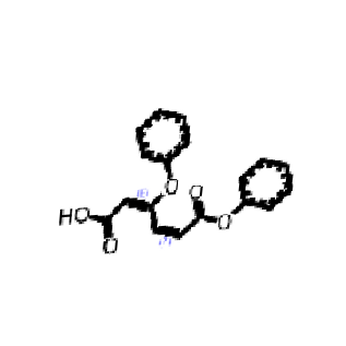 O=C(O)/C=C(\C=C/C(=O)Oc1ccccc1)Oc1ccccc1